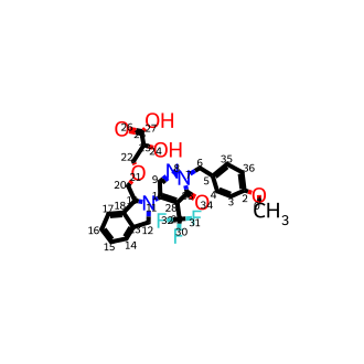 COc1ccc(Cn2ncc(N3Cc4ccccc4C3COCC(O)C(=O)O)c(C(F)(F)F)c2=O)cc1